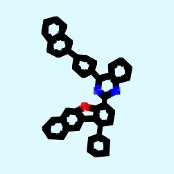 c1ccc(-c2ccc(-c3nc(-c4ccc(-c5ccc6ccccc6c5)cc4)c4ccccc4n3)c3oc4cc5ccccc5cc4c23)cc1